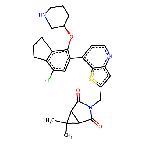 CC1(C)C2C(=O)N(Cc3cc4nccc(-c5cc(Cl)c6c(c5O[C@@H]5CCCNC5)CCC6)c4s3)C(=O)C21